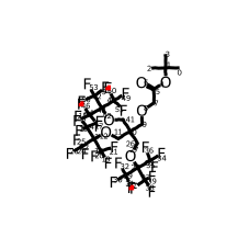 CC(C)(C)OC(=O)COCC(COC(C(F)(F)F)(C(F)(F)F)C(F)(F)F)(COC(C(F)(F)F)(C(F)(F)F)C(F)(F)F)COC(C(F)(F)F)(C(F)(F)F)C(F)(F)F